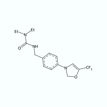 CCN(CC)C(=O)NCc1ccc(N2C=C(C(F)(F)F)OC2)cc1